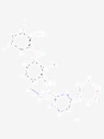 Cc1cc(Cl)c(O)c(Oc2ccc(/C=N\Nc3ncc(F)c(N4CCOCC4)n3)c(O)c2Cl)c1